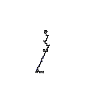 CCCCC/C=C/C/C=C/C/C=C/C/C=C/CCCC(=O)OCCC(C)CCCC(C)CCCC(C)CCCC(C)C